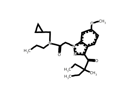 CCCN(CC1CC1)C(=O)Cn1nc(C(=O)C(C)(CC)CC)c2ccc(OC)cc21